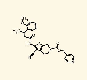 COc1ccccc1C(C)CC(=O)Nc1sc2c(c1C#N)CCN(C(=O)OCc1ccncc1)C2